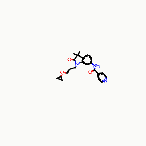 CC1(C)C(=O)N(CCCOC2CC2)c2cc(NC(=O)c3ccncc3)ccc21